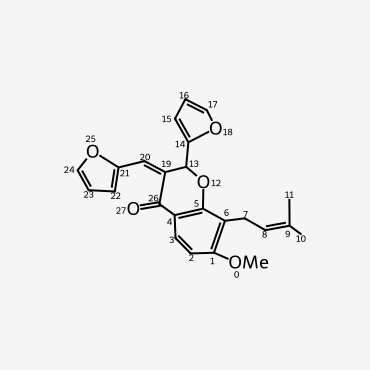 COc1ccc2c(c1CC=C(C)C)OC(c1ccco1)C(=Cc1ccco1)C2=O